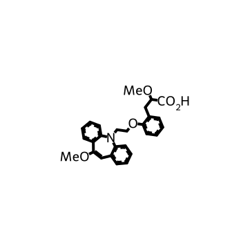 COC1=Cc2ccccc2N(CCOc2ccccc2CC(OC)C(=O)O)c2ccccc21